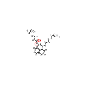 CCCCCCCC1=CC(OC(=O)CCCCC)c2cccc3cccc1c23